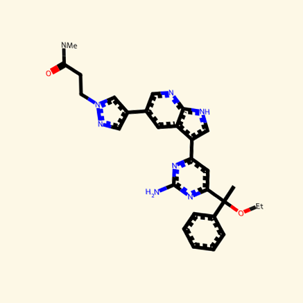 CCOC(C)(c1ccccc1)c1cc(-c2c[nH]c3ncc(-c4cnn(CCC(=O)NC)c4)cc23)nc(N)n1